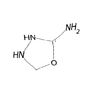 N[C]1NNCO1